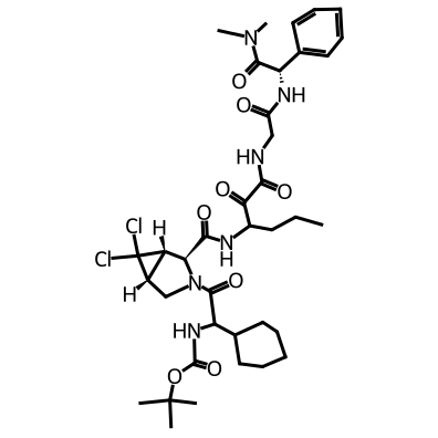 CCCC(NC(=O)[C@@H]1[C@@H]2[C@H](CN1C(=O)C(NC(=O)OC(C)(C)C)C1CCCCC1)C2(Cl)Cl)C(=O)C(=O)NCC(=O)N[C@H](C(=O)N(C)C)c1ccccc1